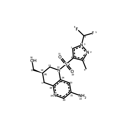 Cc1nn(C(F)F)cc1S(=O)(=O)N1C[C@H](CO)Cc2ncc(N)cc21